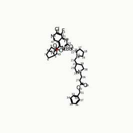 CC(C)(C)OC(=O)N1C2CCC1CN(c1nc(OC[C@@H]3CCCN3CC3CCN(CCC(=O)OCc4ccccc4)CC3)nc3c(F)c(Cl)ncc13)C2